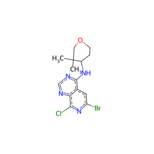 CC1(C)COCCC1Nc1ncnc2c(Cl)nc(Br)cc12